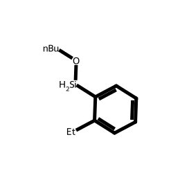 CCCCO[SiH2]c1ccccc1CC